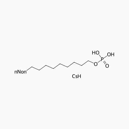 CCCCCCCCCCCCCCCCCCOP(=O)(O)O.[CsH]